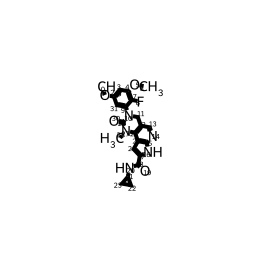 COc1cc(OC)c(F)c(N2Cc3cnc4[nH]c(C(=O)NC5CC5)cc4c3N(C)C2=O)c1